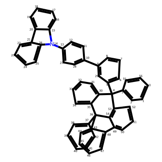 c1ccc(C2(c3cccc(-c4ccc(-n5c6ccccc6c6ccccc65)cc4)c3)c3ccccc3C3(c4ccccc4)c4ccccc4-c4cccc2c43)cc1